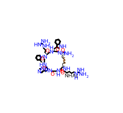 CC(=O)NC(CCCNC(=N)N)C(=O)N[C@H]1CSSC[C@@H](C(N)=O)NC(=O)[C@H](Cc2c[nH]c3ccccc23)NC(=O)[C@H](CCCNC(=N)N)NC(=O)[C@@H](Cc2ccccc2)NC(=O)[C@H](Cc2cnc[nH]2)NC(=O)[C@@H](C)NC1=O